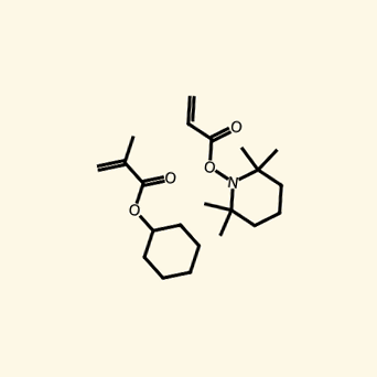 C=C(C)C(=O)OC1CCCCC1.C=CC(=O)ON1C(C)(C)CCCC1(C)C